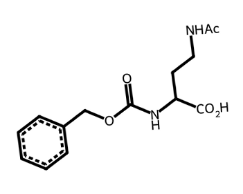 CC(=O)NCCC(NC(=O)OCc1ccccc1)C(=O)O